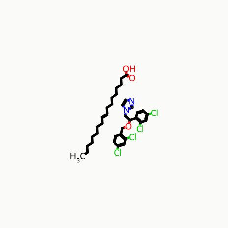 CCCCCCCC/C=C/CCCCCCCC(=O)O.Clc1ccc(COC(Cn2ccnc2)c2ccc(Cl)cc2Cl)c(Cl)c1